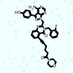 Nc1ncnc2c1c(-c1ccc(O)cc1)nn2Cc1nc2cccc(C#CCCCC(=O)N3CCOCC3)c2c(=O)n1Cc1ccccc1F